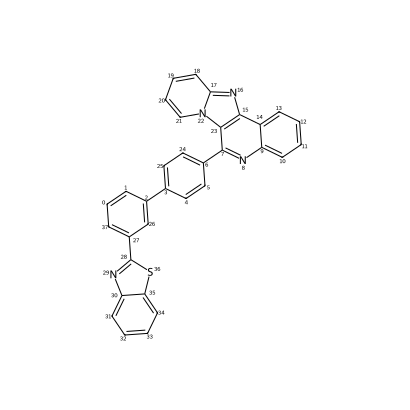 c1cc(-c2ccc(-c3nc4ccccc4c4nc5ccccn5c34)cc2)cc(-c2nc3ccccc3s2)c1